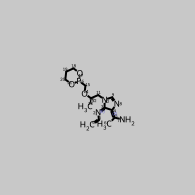 C=C/N=C1\C(=C(/C)N)N=CN1C[C@@H](C)OCP1OCCCO1